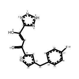 O=C(C=C(O)c1nn[nH]n1)c1cc(Cc2ccc(F)cc2)co1